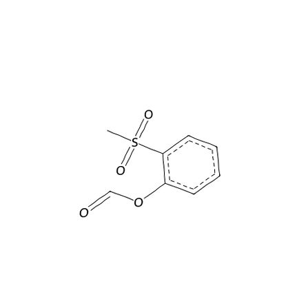 CS(=O)(=O)c1ccccc1OC=O